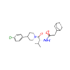 CC(C)[C@@H](NC(=O)CC1CC2CCC1C2)C(=O)N1CCC(c2ccc(Cl)cc2)CC1